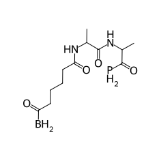 BC(=O)CCCCC(=O)NC(C)C(=O)NC(C)C(=O)P